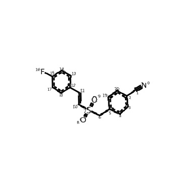 N#Cc1ccc(CS(=O)(=O)C=Cc2ccc(F)cc2)cc1